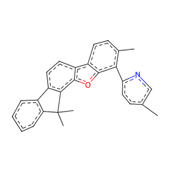 Cc1ccc(-c2c(C)ccc3c2oc2c4c(ccc23)-c2ccccc2C4(C)C)nc1